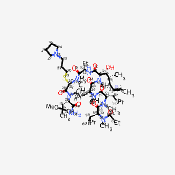 C/C=C/C[C@@H](C)[C@@H](O)[C@@H](C(=O)N[C@@H](CC)C(=O)N(C)[C@H](SCCCN1CCCC1)C(=O)N(C)[C@@H](CC(C)(C)OC)C(N)=O)N(C)C(=O)[C@H](C(C)C)N(C)C(=O)[C@H](CC(C)C)N(C)C(=O)[C@H](CC(C)C)N(C)C(=O)CC